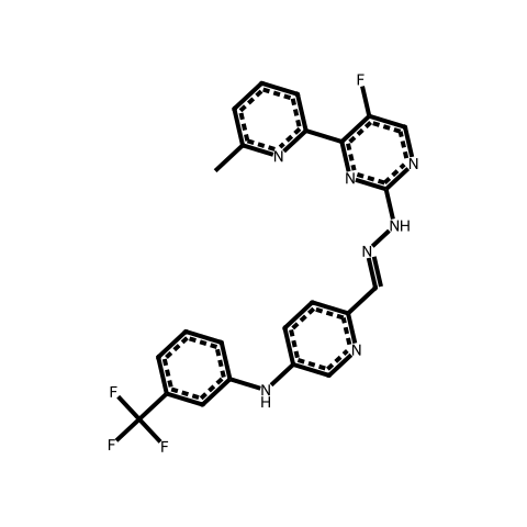 Cc1cccc(-c2nc(N/N=C/c3ccc(Nc4cccc(C(F)(F)F)c4)cn3)ncc2F)n1